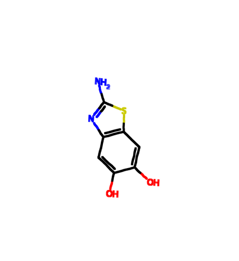 Nc1nc2cc(O)c(O)cc2s1